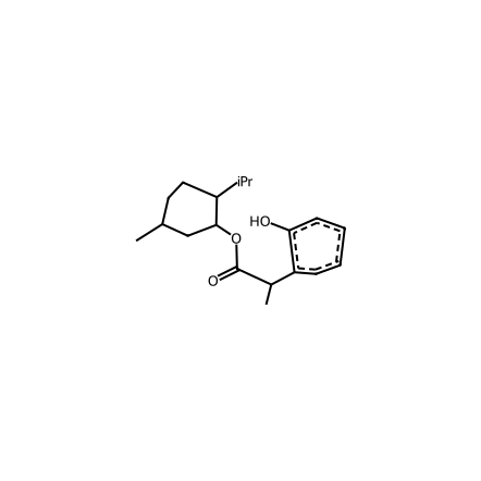 CC1CCC(C(C)C)C(OC(=O)C(C)c2ccccc2O)C1